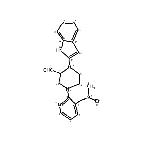 CCN(C)c1cccnc1N1CCN(c2cc3ccccc3[nH]2)C(C=O)C1